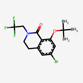 BC(B)(B)Oc1cc(Br)cc2c1C(=O)N(CC(F)(F)F)CC2